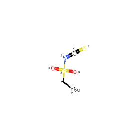 CCCCCS(=O)(=O)N=C=S